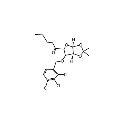 CCCCC(=O)[C@H]1O[C@@H]2OC(C)(C)O[C@@H]2[C@H]1OCc1ccc(Cl)c(Cl)c1Cl